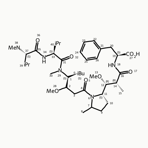 CC[C@H](C)[C@@H](C(CC(=O)N1C(C)CC[C@H]1[C@H](OC)[C@@H](C)C(=O)N[C@@H](Cc1ccccc1)C(=O)O)OC)N(C)C(=O)[C@@H](NC(=O)[C@@H](NC)C(C)C)C(C)C